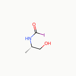 C[C@@H](CO)NC(=O)I